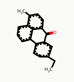 CCc1ccc2c(c1)C(=O)c1ccc(C)c3cccc-2c13